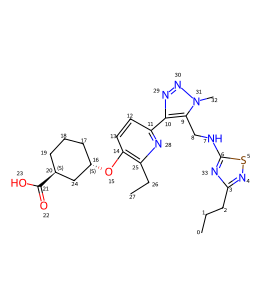 CCCc1nsc(NCc2c(-c3ccc(O[C@H]4CCC[C@H](C(=O)O)C4)c(CC)n3)nnn2C)n1